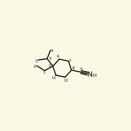 CCC1(C(C)C)CCC(C#N)CC1